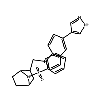 O=S(=O)(c1ccccc1)N1C2CCC1C(Cn1ccc3cc(-c4cn[nH]c4)ccc31)C2